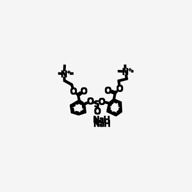 C[N+](C)(C)CCOC(=O)c1ccccc1OS(=O)Oc1ccccc1C(=O)OCC[N+](C)(C)C.[NaH].[NaH]